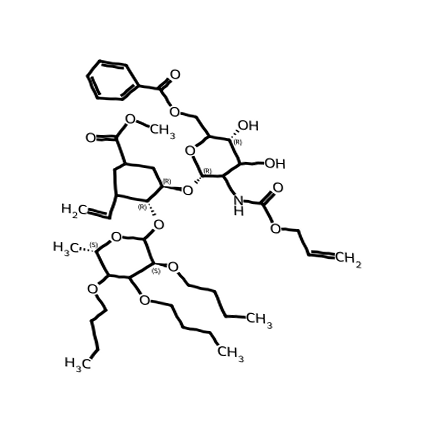 C=CCOC(=O)NC1C(O)[C@@H](O)C(COC(=O)c2ccccc2)O[C@H]1O[C@@H]1CC(C(=O)OC)CC(C=C)[C@H]1OC1O[C@@H](C)C(OCCCC)C(OCCCC)[C@@H]1OCCCC